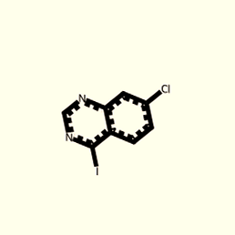 Clc1ccc2c(I)ncnc2c1